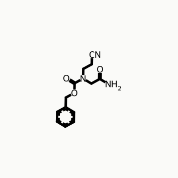 N#CCCN(CC(N)=O)C(=O)OCc1ccccc1